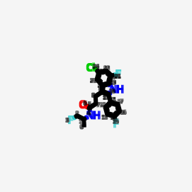 CC(CF)NC(=O)CCc1c(-c2ccc(F)cc2)[nH]c2c(F)cc(Cl)cc12